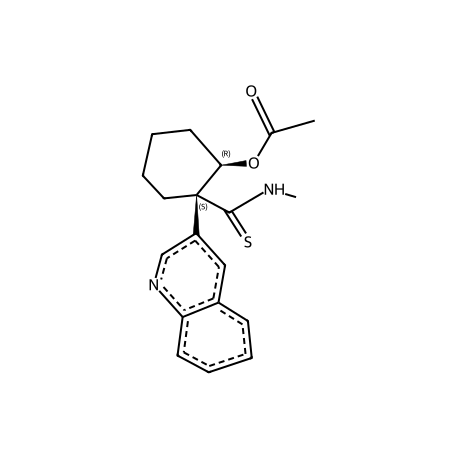 CNC(=S)[C@]1(c2cnc3ccccc3c2)CCCC[C@H]1OC(C)=O